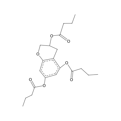 CCCC(=O)Oc1cc2c(c(OC(=O)CCC)c1)CC(OC(=O)CCC)CO2